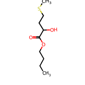 CCCCOC(=O)C(O)CCSC